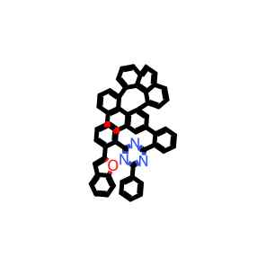 c1ccc(-c2nc(-c3ccccc3-c3cc4ccc5cccc6c7cccc8ccc9cccc(c(c3)c4c56)c9c87)nc(-c3ccccc3-c3cc4ccccc4o3)n2)cc1